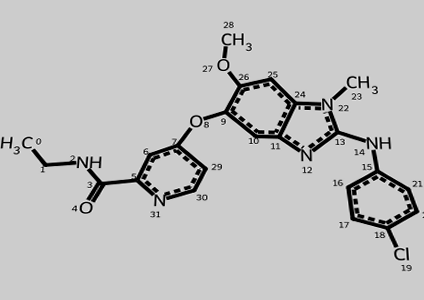 CCNC(=O)c1cc(Oc2cc3nc(Nc4ccc(Cl)cc4)n(C)c3cc2OC)ccn1